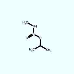 CNS(=O)OC(C)C